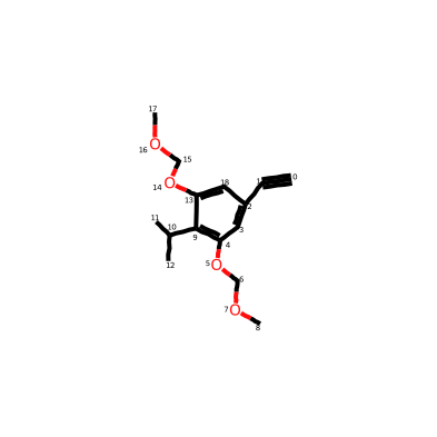 C#Cc1cc(OCOC)c(C(C)C)c(OCOC)c1